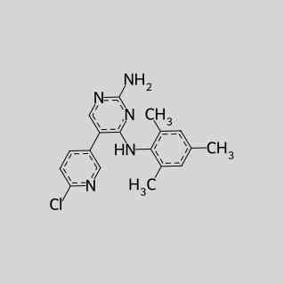 Cc1cc(C)c(Nc2nc(N)ncc2-c2ccc(Cl)nc2)c(C)c1